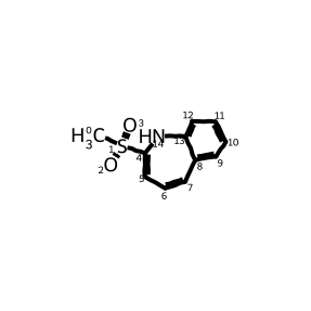 CS(=O)(=O)C1=CC=Cc2ccccc2N1